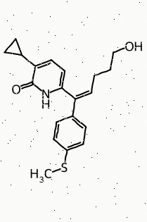 CSc1ccc(C(=CCCCO)c2ccc(C3CC3)c(=O)[nH]2)cc1